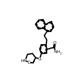 NC(=O)c1cc(OC2CCNCC2)ccc1CCc1cccc2ccccc12